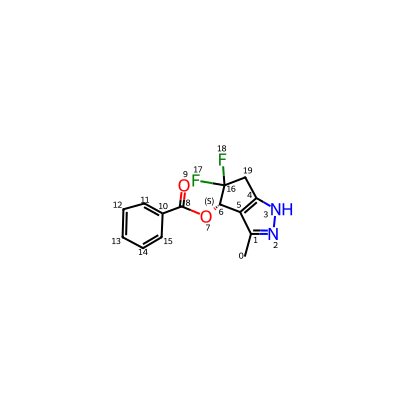 Cc1n[nH]c2c1[C@H](OC(=O)c1ccccc1)C(F)(F)C2